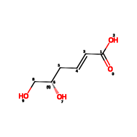 O=C(O)C=CC[C@H](O)CO